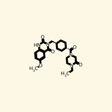 CCN1CCN(C(=O)[C@H]2CC[C@H](Cn3c(=O)[nH]c4ccc(OC)cc4c3=O)CC2)CC1=O